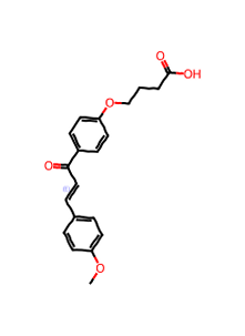 COc1ccc(/C=C/C(=O)c2ccc(OCCCC(=O)O)cc2)cc1